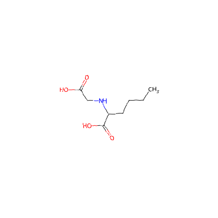 CCCCC(NCC(=O)O)C(=O)O